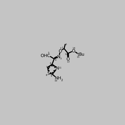 CC(O/N=C(\C=O)c1csc(N)n1)C(=O)OC(C)(C)C